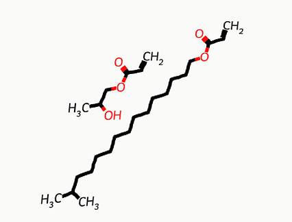 C=CC(=O)OCC(C)O.C=CC(=O)OCCCCCCCCCCCCCC(C)C